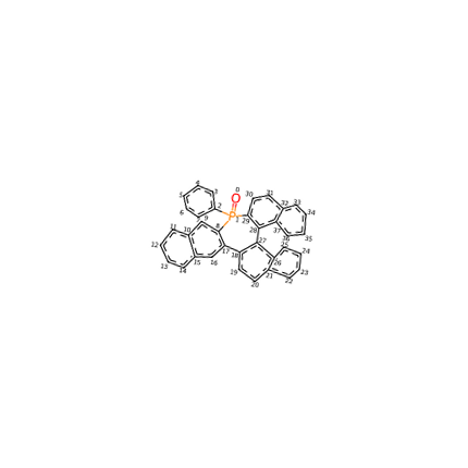 O=P1(c2ccccc2)c2cc3ccccc3cc2-c2ccc3ccccc3c2-c2c1ccc1ccccc21